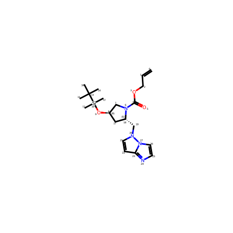 C=CCOC(=O)N1C[C@H](O[Si](C)(C)C(C)(C)C)C[C@H]1Cn1ccc2nccn21